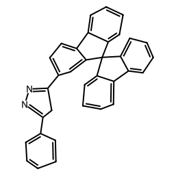 c1ccc(C2=NN=C(c3ccc4c(c3)C3(c5ccccc5-c5ccccc53)c3ccccc3-4)C2)cc1